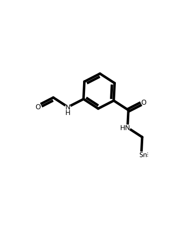 O=CNc1cccc(C(=O)N[CH2][Sn])c1